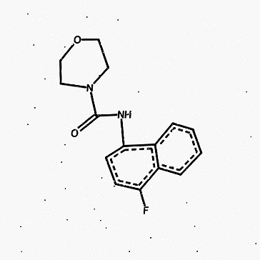 O=C(Nc1ccc(F)c2ccccc12)N1CCOCC1